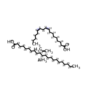 C=CC.CCCCC/C=C\C/C=C\CCCCCCCC(=O)O.CCCCCCCCCCCCCCCCCCCCCC(=O)O.[AlH3]